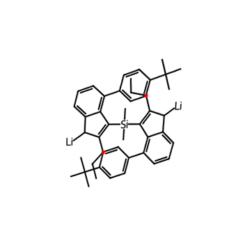 [Li][CH]1C(CCC)=C([Si](C)(C)C2=C(CCC)[CH]([Li])c3cccc(-c4ccc(C(C)(C)C)cc4)c32)c2c(-c3ccc(C(C)(C)C)cc3)cccc21